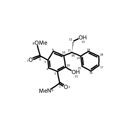 CNC(=O)c1cc(C(=O)OC)cc([C@H](CO)c2ccccc2)c1O